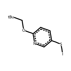 CC(C)(C)COc1ccc(SI)cn1